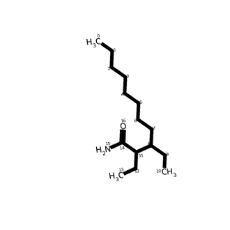 CCCCCCCCC(CC)C(CC)C(N)=O